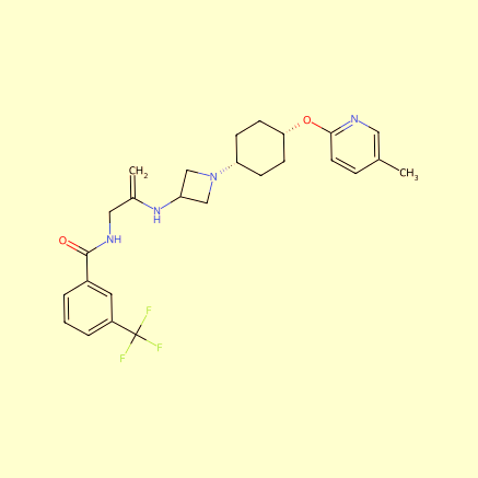 C=C(CNC(=O)c1cccc(C(F)(F)F)c1)NC1CN([C@H]2CC[C@@H](Oc3ccc(C)cn3)CC2)C1